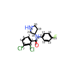 O=C(c1cccc(Cl)c1Cl)N(c1ccc(F)cc1)C1CCNC1